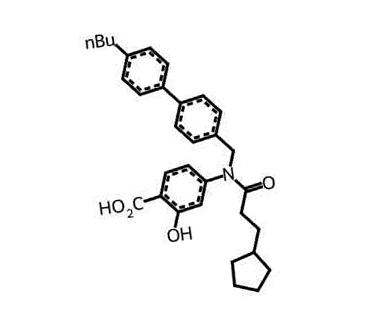 CCCCc1ccc(-c2ccc(CN(C(=O)CCC3CCCC3)c3ccc(C(=O)O)c(O)c3)cc2)cc1